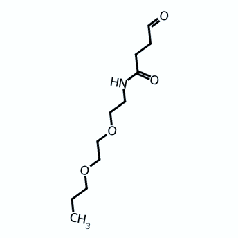 CCCOCCOCCNC(=O)CCC=O